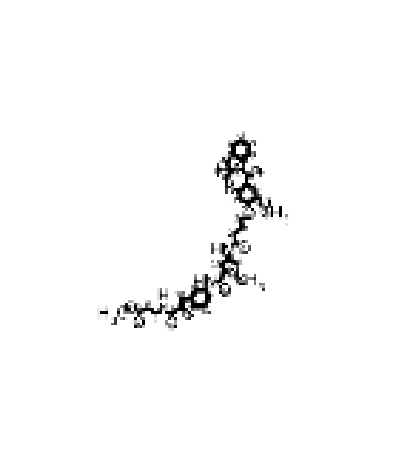 COC(=O)CCNC(=O)c1cc2cc(NC(=O)c3cc(NC(=O)CCCOc4cc5c(cc4OC)C(=O)N4c6ccccc6C[C@H]4C=N5)cn3C)ccc2s1